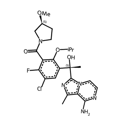 CO[C@H]1CCN(C(=O)c2c(F)c(Cl)cc([C@](C)(O)c3nc(C)c4c(N)nccn34)c2OC(C)C)C1